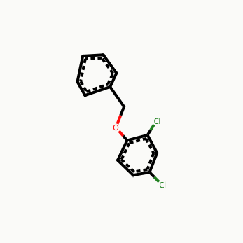 Clc1[c]cc(OCc2ccccc2)c(Cl)c1